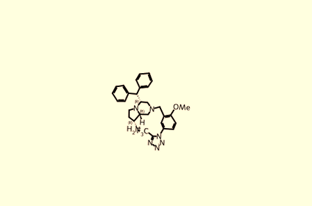 COc1ccc(-n2nnnc2C(F)(F)F)cc1CN1C[C@@H]2[C@H](N)CCN2[C@H](C(c2ccccc2)c2ccccc2)C1